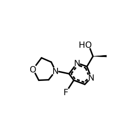 C[C@H](O)c1ncc(F)c(N2CCOCC2)n1